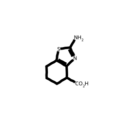 Nc1nc2c(s1)CCCC2C(=O)O